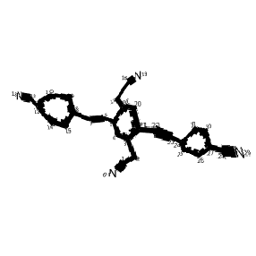 N#CCc1cc(C#Cc2ccc(C#N)cc2)c(CC#N)cc1C#Cc1ccc(C#N)cc1